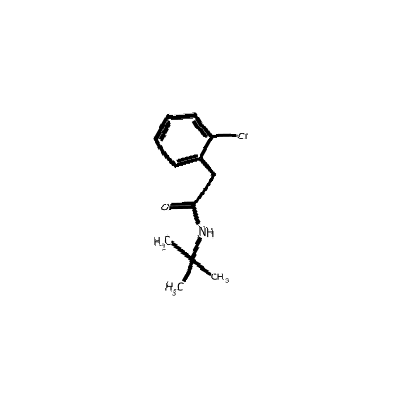 CC(C)(C)NC(=O)Cc1ccccc1Cl